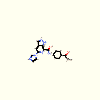 CNC(=O)[C@H]1CC[C@H](NC(=O)c2nc(-n3ccnc3)cc3cn[nH]c23)CC1